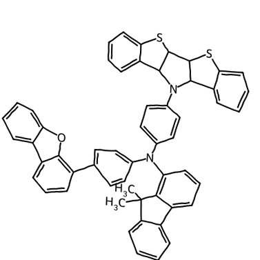 CC1(C)c2ccccc2-c2cccc(N(c3ccc(-c4cccc5c4oc4ccccc45)cc3)c3ccc(N4C5c6ccccc6SC5C5Sc6ccccc6C54)cc3)c21